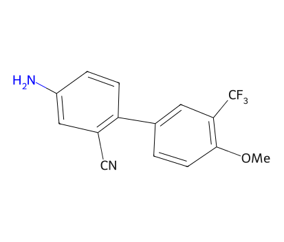 COc1ccc(-c2ccc(N)cc2C#N)cc1C(F)(F)F